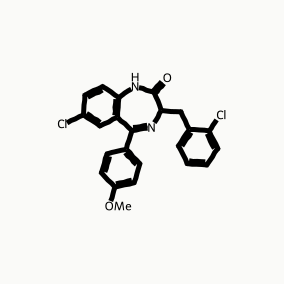 COc1ccc(C2=NC(Cc3ccccc3Cl)C(=O)Nc3ccc(Cl)cc32)cc1